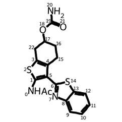 CC(=O)Nc1sc2c(c1-c1nc3ccccc3s1)CCC(OC(N)=O)C2